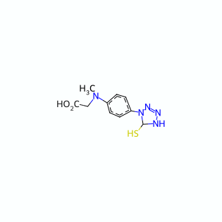 CN(CC(=O)O)c1ccc(N2N=NNC2S)cc1